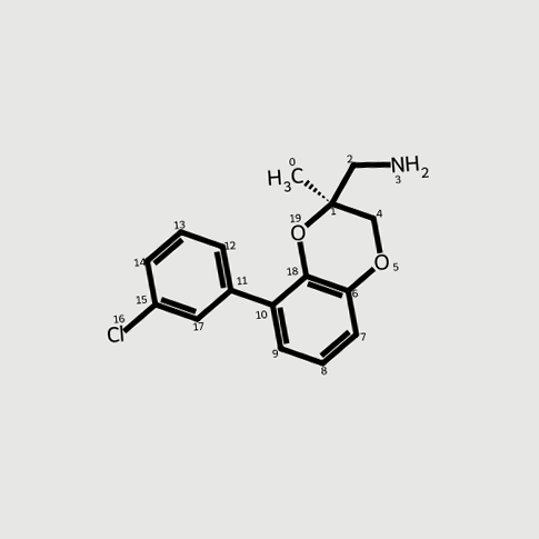 C[C@]1(CN)COc2cccc(-c3cccc(Cl)c3)c2O1